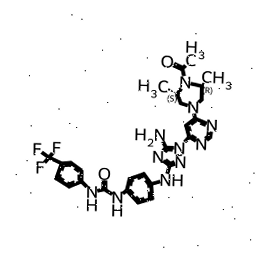 CC(=O)N1[C@H](C)CN(c2cc(-n3nc(Nc4ccc(NC(=O)Nc5ccc(C(F)(F)F)cc5)cc4)nc3N)ncn2)C[C@@H]1C